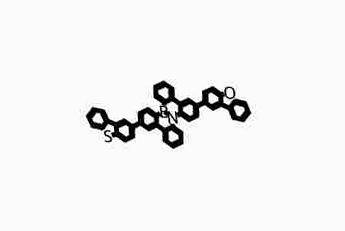 c1ccc2c(c1)B1c3ccc(-c4ccc5sc6ccccc6c5c4)cc3-c3ccccc3N1c1ccc(-c3ccc4oc5ccccc5c4c3)cc1-2